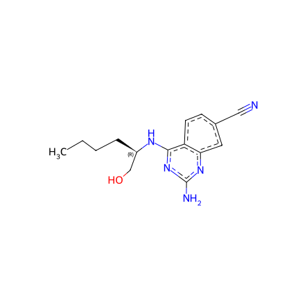 CCCC[C@H](CO)Nc1nc(N)nc2cc(C#N)ccc12